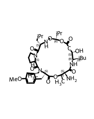 CC[C@H](C)[C@H]1NC(=O)[C@@H](N)[C@@H](C)OC(=O)[C@H](Cc2ccc(OC)cc2)N(C)C(=O)[C@@H]2CCCN2C(=O)[C@H](CC(C)C)NO[C@H](C(C)C)OC(=O)C[C@@H]1O